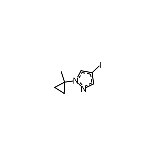 CC1(n2cc(I)cn2)CC1